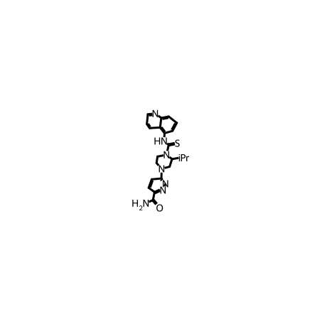 CC(C)C1CN(c2ccc(C(N)=O)nn2)CCN1C(=S)Nc1cccc2ncccc12